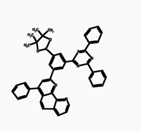 CC1(C)OB(c2cc(-c3cc(-c4ccccc4)c4ccc5cccnc5c4n3)cc(-c3nc(-c4ccccc4)nc(-c4ccccc4)n3)c2)OC1(C)C